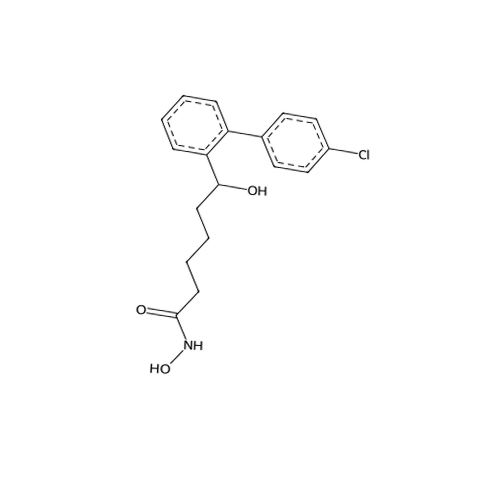 O=C(CCCCC(O)c1ccccc1-c1ccc(Cl)cc1)NO